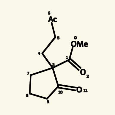 COC(=O)C1(CCC(C)=O)CCCC1=O